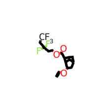 C=COC1CC2CC(C(=O)OCCC(F)(F)CC(F)(F)F)C1C2